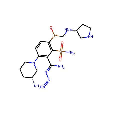 N=N/N=C(\N)c1c(N2CCC[C@@H](N)C2)ccc([S+]([O-])CN[C@@H]2CCNC2)c1S(N)(=O)=O